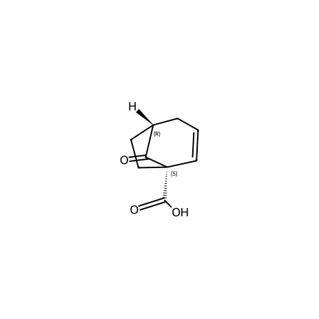 O=C(O)[C@]12C=CC[C@@H](CC1)C2=O